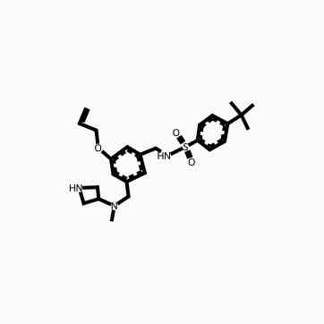 C=CCOc1cc(CNS(=O)(=O)c2ccc(C(C)(C)C)cc2)cc(CN(C)C2CNC2)c1